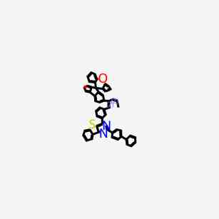 C/C=C\C(=C\c1cccc(-c2nc(-c3ccc(-c4ccccc4)cc3)nc3c2sc2ccccc23)c1)c1ccc2c(c1)C1(c3ccccc3Oc3ccccc31)c1ccccc1-2